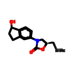 CC(=O)NC[C@H]1CN(c2ccc3c(c2)CCC3O)C(=O)O1